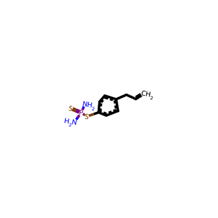 C=CCc1ccc(SP(N)(N)=S)cc1